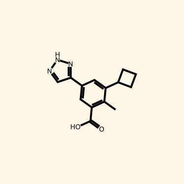 Cc1c(C(=O)O)cc(-c2cn[nH]n2)cc1C1CCC1